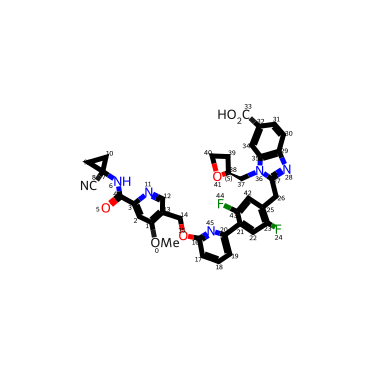 COc1cc(C(=O)NC2(C#N)CC2)ncc1COc1cccc(-c2cc(F)c(Cc3nc4ccc(C(=O)O)cc4n3C[C@@H]3CCO3)cc2F)n1